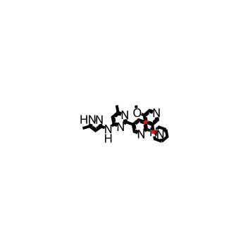 COc1cncc(CN2C3CC2CN(c2ccc(-c4nc(C)cc(Nc5cc(C)[nH]n5)n4)cn2)C3)c1